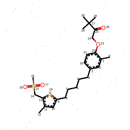 Cc1cc(CCCCCc2cc(C)c(CS(C)(=O)=O)s2)ccc1OCC(=O)C(C)(C)C